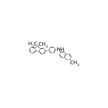 CC1C=Cc2cc(Nc3ccc(-c4ccc5c(c4)C(C)(C)c4ccccc4-5)cc3)ccc2C1